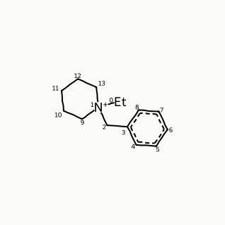 CC[N+]1(Cc2ccccc2)CCCCC1